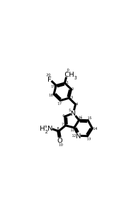 Cc1cc(Cn2cc(C(N)=O)c3ncccc32)ccc1F